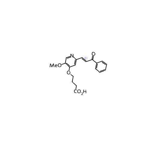 COc1cnc(/C=C/C(=O)c2ccccc2)cc1OCCCC(=O)O